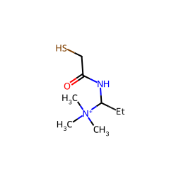 CCC(NC(=O)CS)[N+](C)(C)C